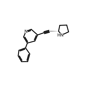 C(#C[C@@H]1CCCN1)c1cncc(-c2ccccc2)c1